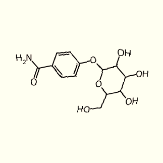 NC(=O)c1ccc(OC2OC(CO)C(O)C(O)C2O)cc1